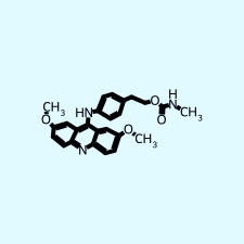 CNC(=O)OCCc1ccc(Nc2c3cc(OC)ccc3nc3ccc(OC)cc23)cc1